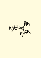 CCC(C)(C)C(=O)OCCCC(C)(OCCOC(C)(C(F)(F)F)C(F)(F)F)OCCOC(C(F)(F)F)(C(F)(F)F)C(F)(F)F